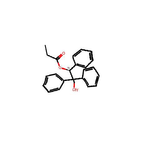 CCC(=O)O[C@@H](c1ccccc1)C(O)(c1ccccc1)c1ccccc1